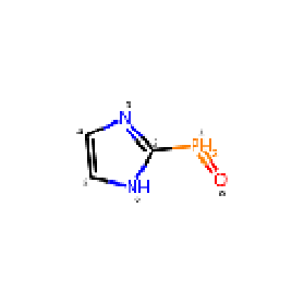 O=[PH2]c1ncc[nH]1